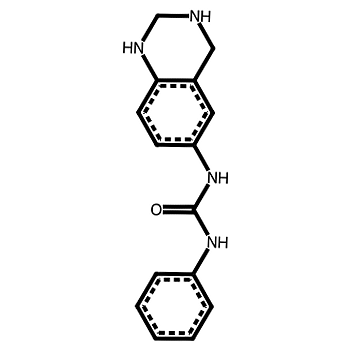 O=C(Nc1ccccc1)Nc1ccc2c(c1)CNCN2